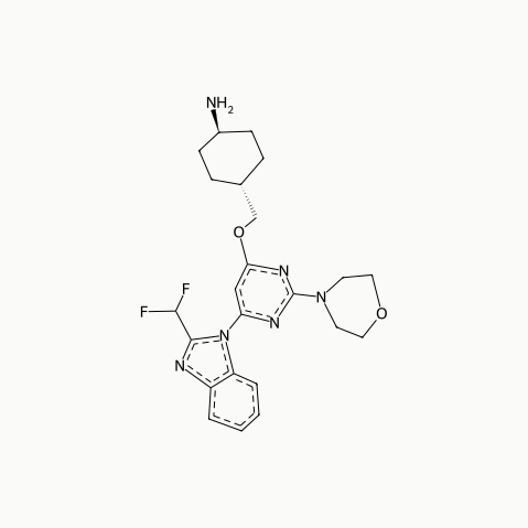 N[C@H]1CC[C@H](COc2cc(-n3c(C(F)F)nc4ccccc43)nc(N3CCOCC3)n2)CC1